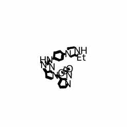 CCC1CN(c2ccc(Nc3ncc4ccn(Cc5cccnc5N(C)S(C)(=O)=O)c4n3)cc2)CCN1